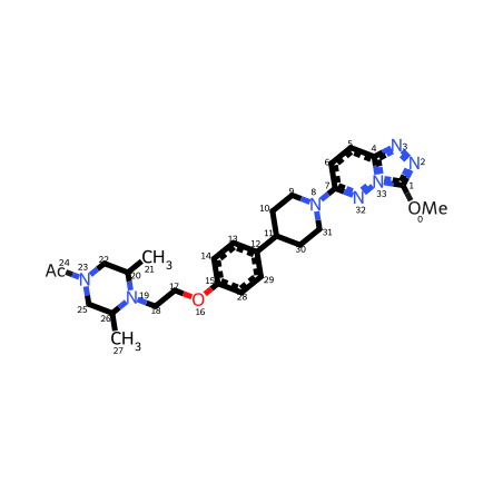 COc1nnc2ccc(N3CCC(c4ccc(OCCN5C(C)CN(C(C)=O)CC5C)cc4)CC3)nn12